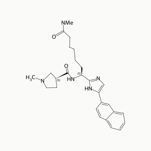 CNC(=O)CCCCC[C@H](NC(=O)[C@H]1CCN(C)C1)c1ncc(-c2ccc3ccccc3c2)[nH]1